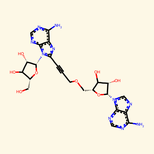 Nc1ncnc2c1ncn2[C@@H]1O[C@H](COCC#Cc2nc3c(N)ncnc3n2[C@@H]2O[C@H](CO)C(O)[C@@H]2O)C(O)[C@@H]1O